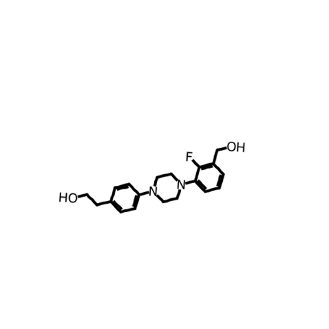 OCCc1ccc(N2CCN(c3cccc(CO)c3F)CC2)cc1